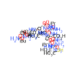 CC(C)C[C@H](N)C(=O)OC(=O)CN.CC(C)[C@H](N)C(=O)OC(=O)[C@@H](N)Cc1ccccc1.CC[C@H](C)[C@H](N)C(=O)O[C@H](C)[C@H](N)C(=O)OC[C@H](N)C(=O)O.NC(=O)CC[C@H](N)C(=O)O.NC(=O)C[C@H](N)C(=O)Oc1ccc(C[C@H](N)C(=O)O)cc1.N[C@@H](CS)C(=O)O.N[C@@H](Cc1c[nH]c2ccccc12)C(=O)O.O=C(O)[C@@H]1CCCN1